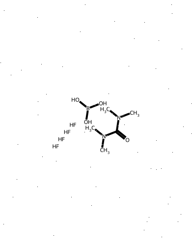 CN(C)C(=O)N(C)C.F.F.F.F.OB(O)O